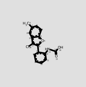 Cc1ccc2oc(-c3ccccc3NC(=O)O)c(Cl)c2c1